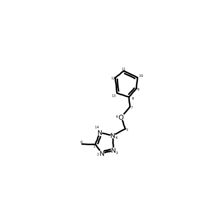 Cc1nnn(COCc2ccccc2)n1